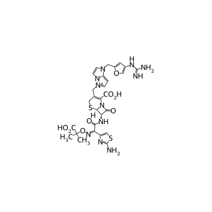 CC(C)(O/N=C(\C(=O)N[C@@H]1C(=O)N2C(C(=O)O)=C(C[n+]3ccc4n(Cc5cc(NC(=N)N)co5)ccn43)CS[C@H]12)c1csc(N)n1)C(=O)O